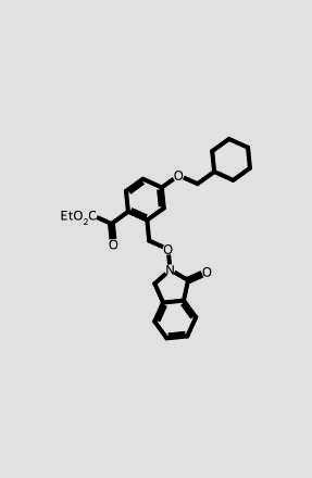 CCOC(=O)C(=O)c1ccc(OCC2CCCCC2)cc1CON1Cc2ccccc2C1=O